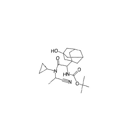 CC(C#N)N(C(=O)C(NC(=O)OC(C)(C)C)C12CC3CC(CC(O)(C3)C1)C2)C1CC1